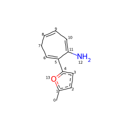 Cc1ccc(C2=CCC=CC=C2N)o1